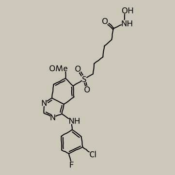 COc1cc2ncnc(Nc3ccc(F)c(Cl)c3)c2cc1S(=O)(=O)CCCCCC(=O)NO